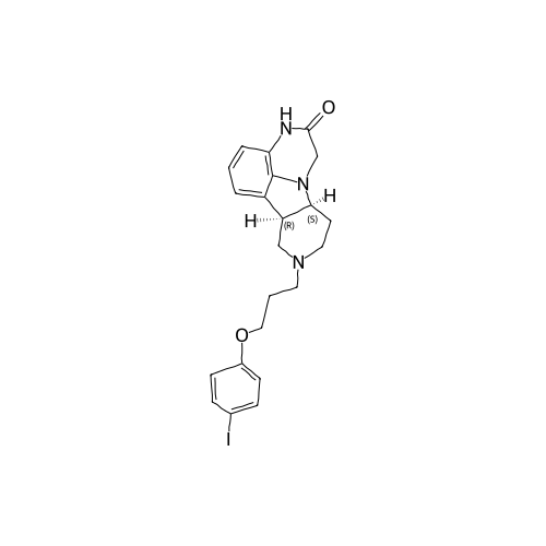 O=C1CN2c3c(cccc3[C@@H]3CN(CCCOc4ccc(I)cc4)CC[C@@H]32)N1